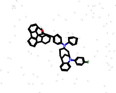 Fc1ccc(N2c3ccccc3C3CCC(N(c4ccccc4)c4ccc(C5CCC6c7cccc8c7C7(c9c-8cccc9C8CCCCC87)C6C5)cc4)CC2C3)cc1